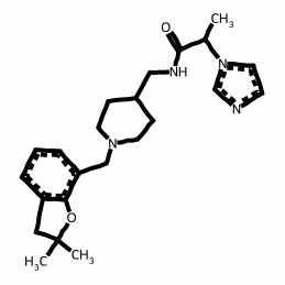 CC(C(=O)NCC1CCN(Cc2cccc3c2OC(C)(C)C3)CC1)n1ccnc1